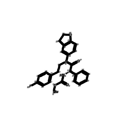 CC(C)(C)OC(=O)N[C@H](C(=O)N(CCc1ccc(F)cc1)c1ccc2c(c1)CCO2)c1ccccc1